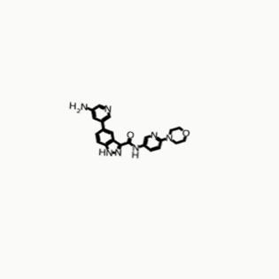 Nc1cncc(-c2ccc3[nH]nc(C(=O)Nc4ccc(N5CCOCC5)nc4)c3c2)c1